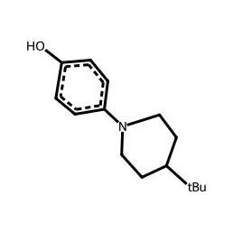 CC(C)(C)C1CCN(c2ccc(O)cc2)CC1